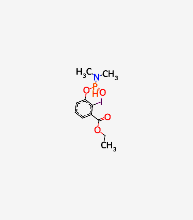 CCOC(=O)c1cccc(O[PH](=O)N(C)C)c1I